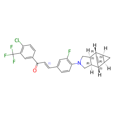 O=C(/C=C/c1ccc(N2C[C@@H]3[C@@H]4C=C[C@@H]([C@H]5C[C@@H]45)[C@@H]3C2)c(F)c1)c1ccc(Cl)c(C(F)(F)F)c1